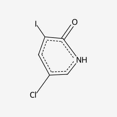 O=c1[nH]cc(Cl)cc1I